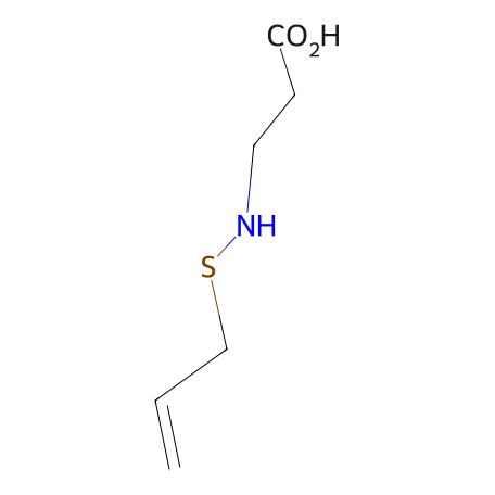 C=CCSNCCC(=O)O